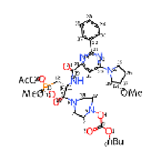 CCCCOC(=O)ON1CCN(C(=O)[C@H](CP(=O)(OC)OOC(C)=O)NC(=O)c2cc(N3CC[C@H](OC)C3)nc(-c3ccccc3)n2)CC1